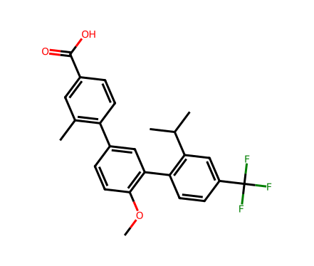 COc1ccc(-c2ccc(C(=O)O)cc2C)cc1-c1ccc(C(F)(F)F)cc1C(C)C